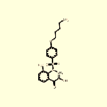 Cc1cccc(C(=O)NO)c1N(C)S(=O)(=O)c1ccc(OCCCCN)cc1